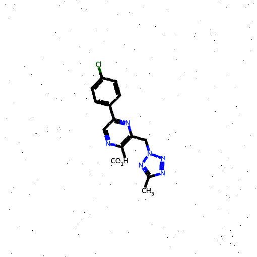 Cc1nnn(Cc2nc(-c3ccc(Cl)cc3)cnc2C(=O)O)n1